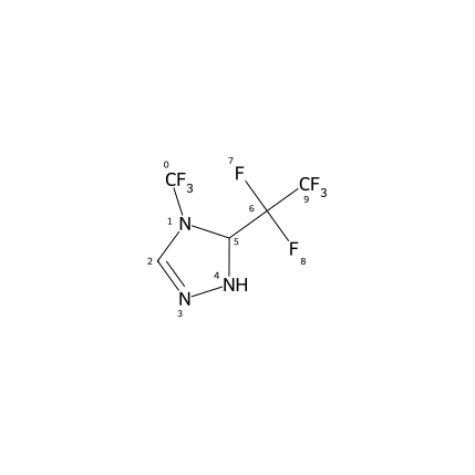 FC(F)(F)N1C=NNC1C(F)(F)C(F)(F)F